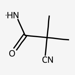 CC(C)(C#N)C([NH])=O